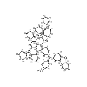 CC(C)(C)c1ccc(N(c2ccc3c(c2)N(c2cccc4c2oc2ccccc24)c2cccc4c2B3c2sc3ccc(-c5ccccc5)cc3c2C4(c2ccccc2)c2ccccc2)c2ccc3oc4ccccc4c3c2)cc1